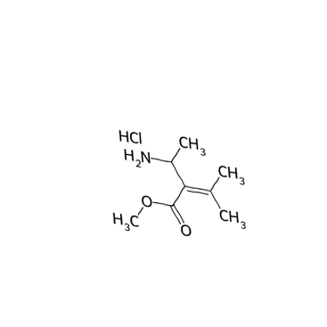 COC(=O)C(=C(C)C)C(C)N.Cl